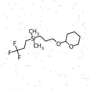 C[Si](C)(CCCOC1CCCCO1)CCC(F)(F)F